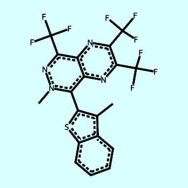 Cc1c(-c2c3nc(C(F)(F)F)c(C(F)(F)F)nc3c(C(F)(F)F)n[n+]2C)sc2ccccc12